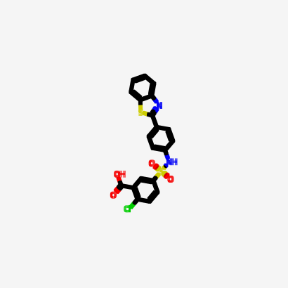 O=C(O)c1cc(S(=O)(=O)Nc2ccc(-c3nc4ccccc4s3)cc2)ccc1Cl